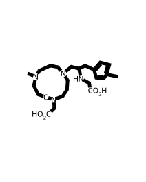 Cc1ccc(CC(CN2CCCN(C)CCCN(CC(=O)O)CCC2)NCC(=O)O)cc1